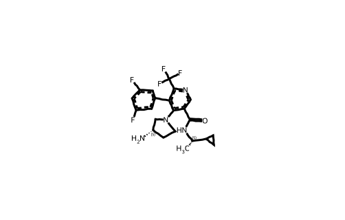 C[C@H](NC(=O)c1cnc(C(F)(F)F)c(-c2cc(F)cc(F)c2)c1N1CC[C@H](N)C1)C1CC1